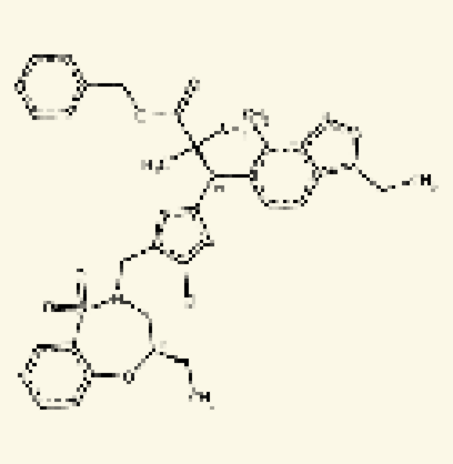 CC[C@@H]1CN(Cc2cc([C@H](c3ccc4c(nnn4CC)c3C)C(C)(C)C(=O)OCc3ccccc3)sc2Cl)S(=O)(=O)c2cnccc2O1